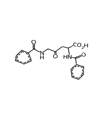 O=C(CNC(=O)c1ccccc1)CC(NC(=O)c1ccccc1)C(=O)O